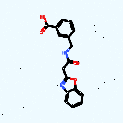 O=C(Cc1nc2ccccc2o1)NCc1cccc(C(=O)O)c1